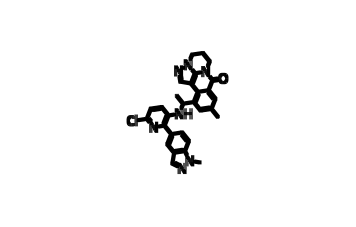 Cc1cc(C(C)Nc2ccc(Cl)nc2-c2ccc3c(cnn3C)c2)c2c(c1)c(=O)n1c3c2cnn3CCC1